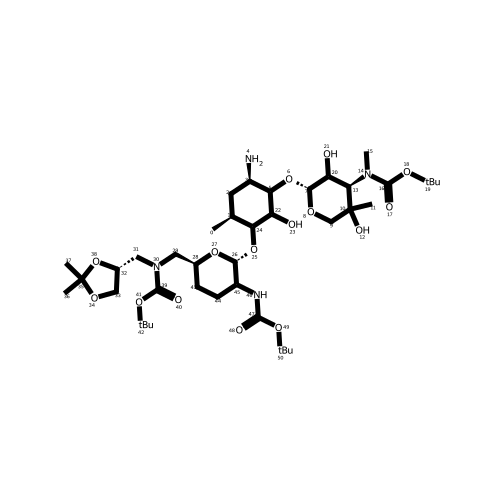 C[C@H]1C[C@@H](N)C(O[C@H]2OCC(C)(O)[C@H](N(C)C(=O)OC(C)(C)C)C2O)C(O)C1O[C@H]1O[C@H](CN(C[C@@H]2COC(C)(C)O2)C(=O)OC(C)(C)C)CCC1NC(=O)OC(C)(C)C